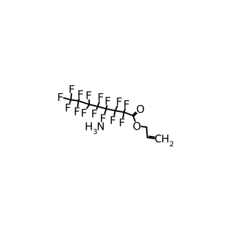 C=CCOC(=O)C(F)(F)C(F)(F)C(F)(F)C(F)(F)C(F)(F)C(F)(F)C(F)(F)F.N